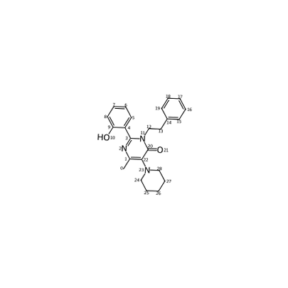 Cc1nc(-c2ccccc2O)n(CCc2ccccc2)c(=O)c1N1CCCCC1